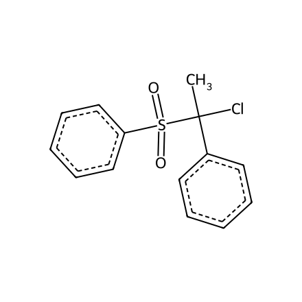 CC(Cl)(c1ccccc1)S(=O)(=O)c1ccccc1